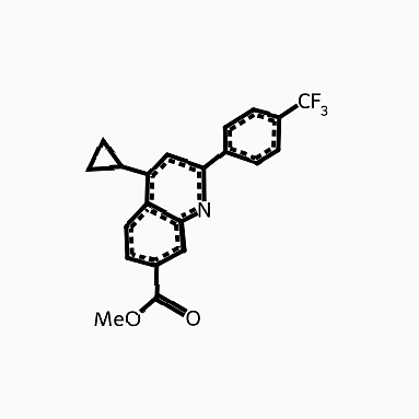 COC(=O)c1ccc2c(C3CC3)cc(-c3ccc(C(F)(F)F)cc3)nc2c1